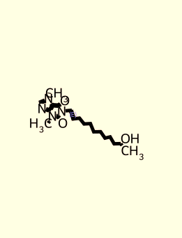 CC(O)CCCCCCCC/C=C/n1c(=O)c2c(ncn2C)n(C)c1=O